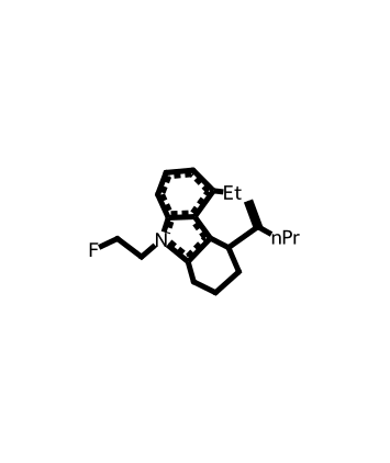 C=C(CCC)C1CCCc2c1c1c(CC)cccc1n2CCF